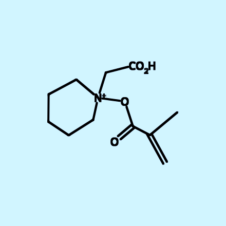 C=C(C)C(=O)O[N+]1(CC(=O)O)CCCCC1